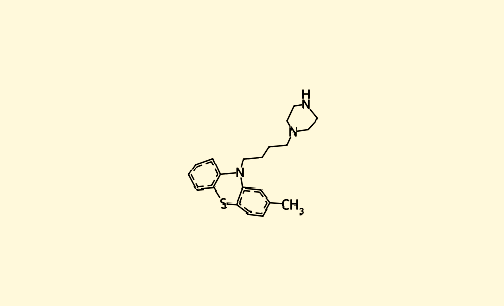 Cc1ccc2c(c1)N(CCCCN1CCNCC1)c1ccccc1S2